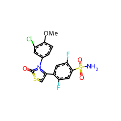 COc1ccc(-n2c(-c3cc(F)c(S(N)(=O)=O)cc3F)csc2=O)cc1Cl